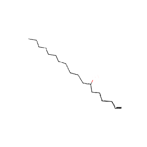 C=CCCCCC(O)CCCCCCCCCCC